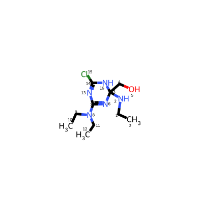 CCNC1(CO)N=C(N(CC)CC)N=C(Cl)N1